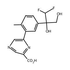 Cc1ccc(C(O)(CO)C(F)F)cc1-c1cncc(C(=O)O)n1